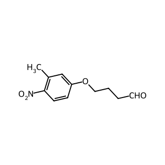 Cc1cc(OCCCC=O)ccc1[N+](=O)[O-]